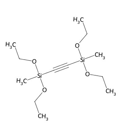 CCO[Si](C)(C#C[Si](C)(OCC)OCC)OCC